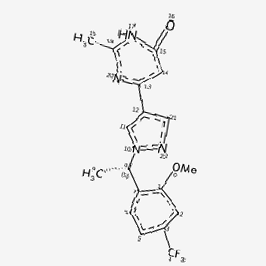 COc1cc(C(F)(F)F)ccc1[C@H](C)n1cc(-c2cc(=O)[nH]c(C)n2)cn1